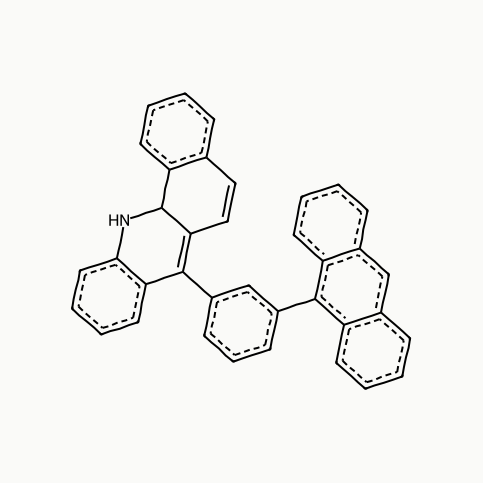 C1=Cc2ccccc2C2Nc3ccccc3C(c3cccc(-c4c5ccccc5cc5ccccc45)c3)=C12